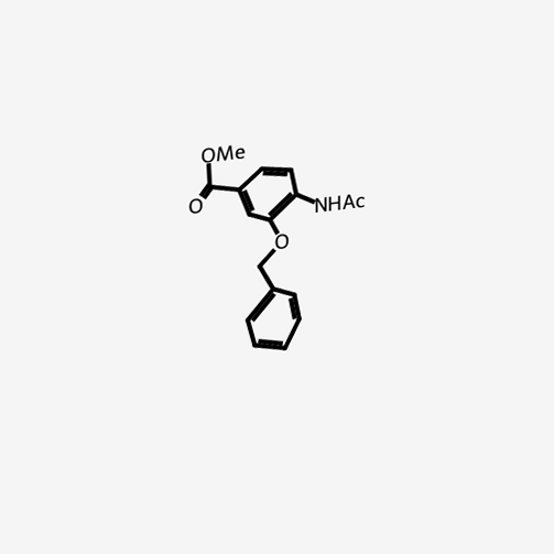 COC(=O)c1ccc(NC(C)=O)c(OCc2ccccc2)c1